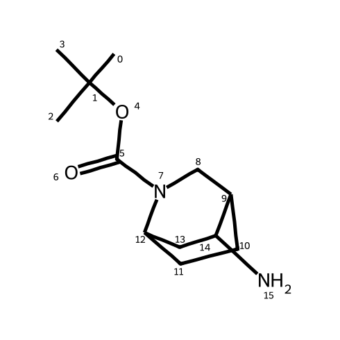 CC(C)(C)OC(=O)N1CC2CCC1CC2N